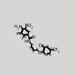 Nc1c([N+](=O)[O-])cc(C(=O)NC/C=C\COc2ncc(C(F)(F)F)cc2Cl)c(F)c1F